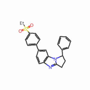 CCS(=O)(=O)c1ccc(-c2ccc3nc4n(c3c2)C(c2ccccc2)CC4)cc1